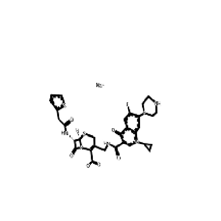 O=C(Cc1cccs1)N[C@H]1C(=O)N2C(C(=O)[O-])=C(CNC(=O)c3cn(C4CC4)c4cc(N5CCNCC5)c(F)cc4c3=O)CS[C@H]12.[Na+]